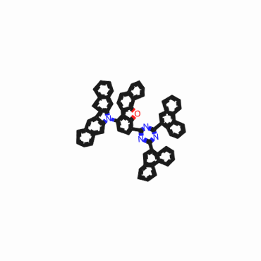 c1ccc2cc3c(cc2c1)c1cc2ccccc2cc1n3-c1ccc(-c2nc(-c3cc4ccccc4c4ccccc34)nc(-c3cc4ccccc4c4ccccc34)n2)c2oc3c4ccccc4ccc3c12